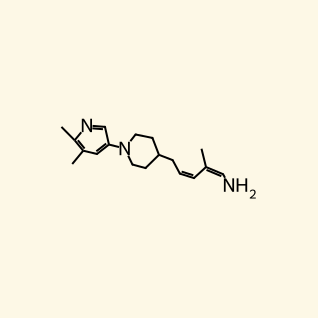 CC(/C=C\CC1CCN(c2cnc(C)c(C)c2)CC1)=C/N